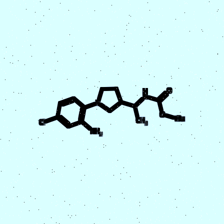 CC(NC(=O)OC(C)(C)C)C1CCN(c2ccc(Cl)cc2N)C1